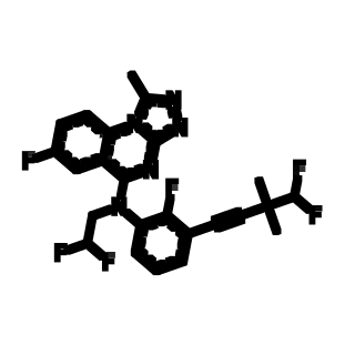 Cc1nnc2nc(N(CC(F)F)c3cccc(C#CC(C)(C)C(F)F)c3F)c3cc(F)ccc3n12